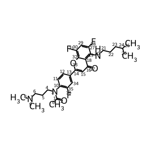 CC(=O)N(CCCN(C)C)c1ccc(-c2cc(=O)c3c(NCCCC(C)C)c(F)cc(F)c3o2)cc1F